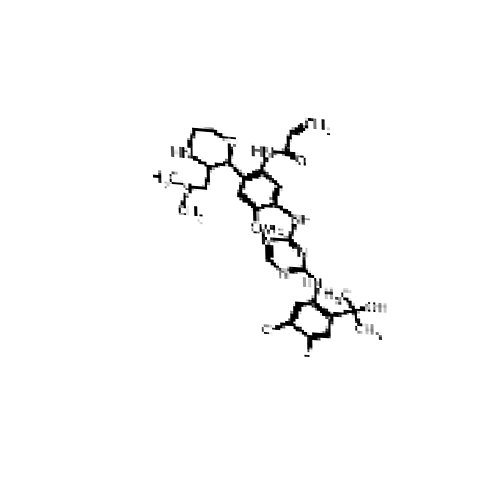 C=CC(=O)Nc1cc(Nc2ncnc(Nc3cc(Cl)c(F)cc3C(C)(C)O)n2)c(OC)cc1C1OCCNC1CN(C)C